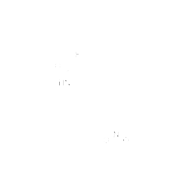 O=c1[nH]c2ccc(CCC[N+](=O)[O-])cc2cc1F